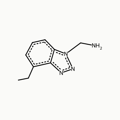 CCc1cccc2c1nnn2CN